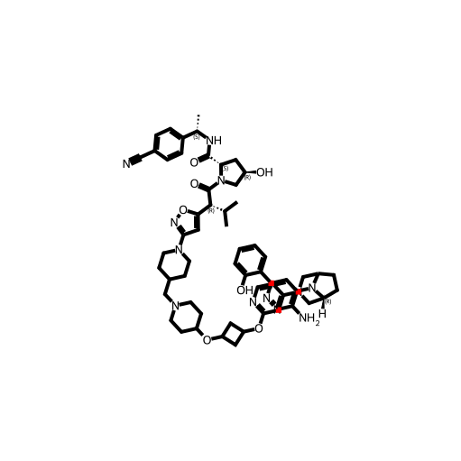 CC(C)[C@@H](C(=O)N1C[C@H](O)C[C@H]1C(=O)N[C@@H](C)c1ccc(C#N)cc1)c1cc(N2CCC(CN3CCC(OC4CC(Oc5cc(N6CC7CC[C@H](C6)N7c6cc(-c7ccccc7O)nnc6N)ccn5)C4)CC3)CC2)no1